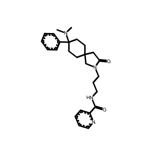 CN(C)C1(c2ccccc2)CCC2(CC1)CC(=O)N(CCCNC(=O)c1ccccn1)C2